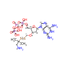 CC(C)(CN)SSCOC1C[C@H](n2cnc3c2N=C(N)NC3N)O[C@@H]1COP(=O)(O)OP(=O)(O)OP(=O)(O)O